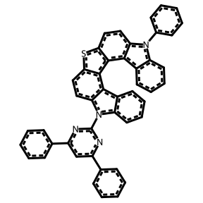 c1ccc(-c2cc(-c3ccccc3)nc(-n3c4ccccc4c4c5c(ccc43)sc3ccc4c(c6ccccc6n4-c4ccccc4)c35)n2)cc1